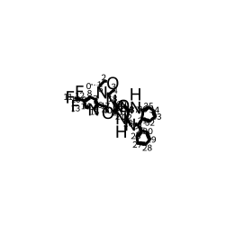 C[C@@H]1COCCN1c1cc(C(F)(F)F)cnc1-c1nnc(N[C@H]2N=C(c3ccccc3)c3ccccc3NC2=O)o1